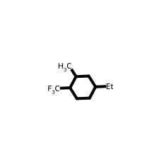 CCC1CCC(C(F)(F)F)C(C)C1